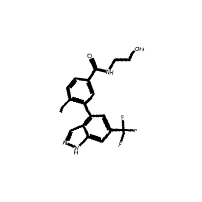 Cc1ccc(C(=O)NCCO)cc1-c1cc(C(F)(F)F)cc2[nH]ncc12